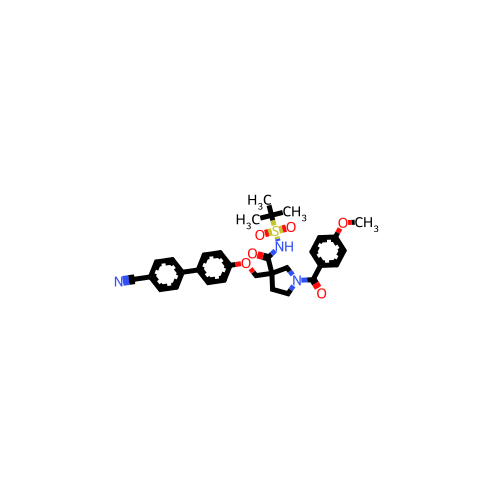 COc1ccc(C(=O)N2CCC(COc3ccc(-c4ccc(C#N)cc4)cc3)(C(=O)NS(=O)(=O)C(C)(C)C)C2)cc1